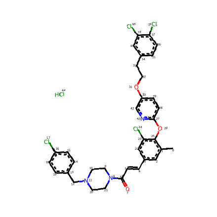 Cc1cc(C=CC(=O)N2CCN(Cc3ccc(Cl)cc3)CC2)cc(Cl)c1Oc1ccc(OCCc2ccc(Cl)c(Cl)c2)cn1.Cl